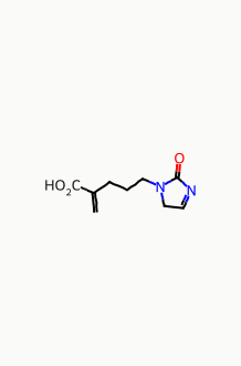 C=C(CCCN1CC=NC1=O)C(=O)O